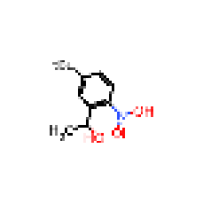 CC(O)c1cc(C(C)(C)C)ccc1N(O)O